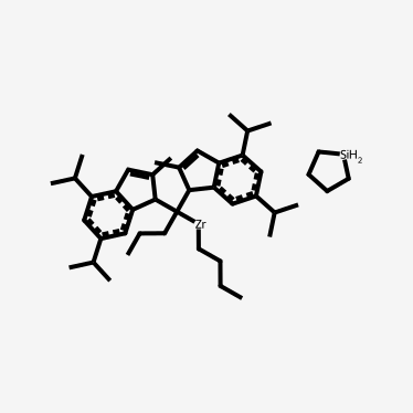 C1CC[SiH2]C1.CCC[CH2][Zr][C](CCC)(C1C(C)=Cc2c(C(C)C)cc(C(C)C)cc21)C1C(C)=Cc2c(C(C)C)cc(C(C)C)cc21